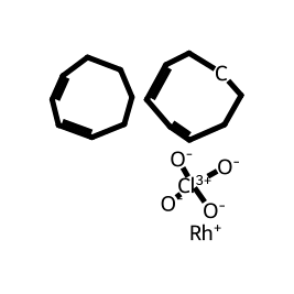 C1=CCCCCC=C1.C1=CCCCCC=C1.[O-][Cl+3]([O-])([O-])[O-].[Rh+]